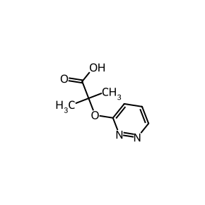 CC(C)(Oc1cccnn1)C(=O)O